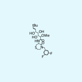 CO[C@@H](C(=O)NC1CSCCN(Cc2cc(F)cc(F)c2)C1=O)[C@H](O)[C@@H](O)[C@H](O)C=CC(C)(C)C